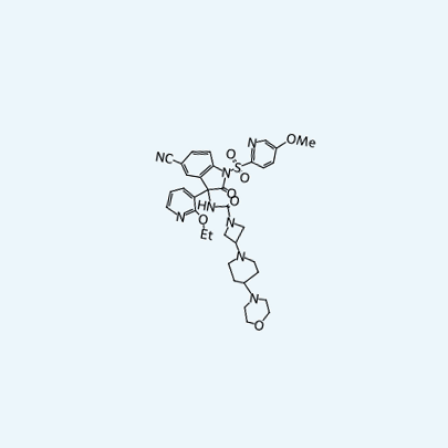 CCOc1ncccc1C1(NC(=O)N2CC(N3CCC(N4CCOCC4)CC3)C2)C(=O)N(S(=O)(=O)c2ccc(OC)cn2)c2ccc(C#N)cc21